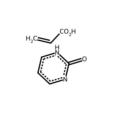 C=CC(=O)O.O=c1nccc[nH]1